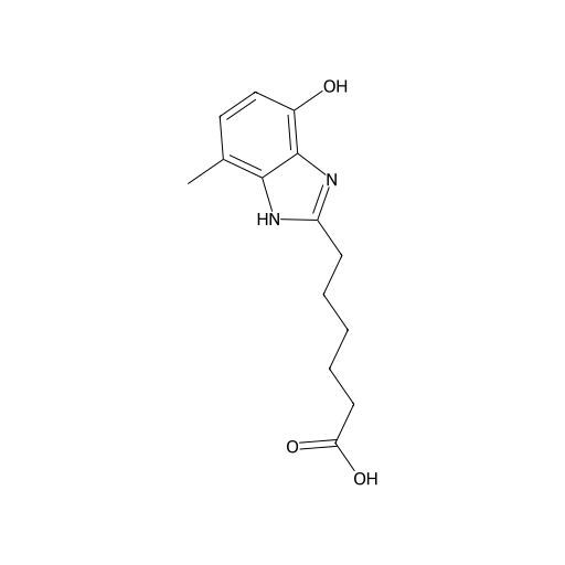 Cc1ccc(O)c2nc(CCCCCC(=O)O)[nH]c12